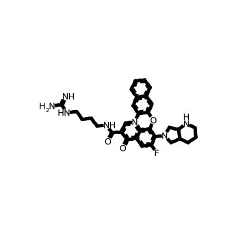 N=C(N)NCCCCNC(=O)c1cn2c3c(c(N4CC5CCCNC5C4)c(F)cc3c1=O)Oc1cc3ccccc3cc1-2